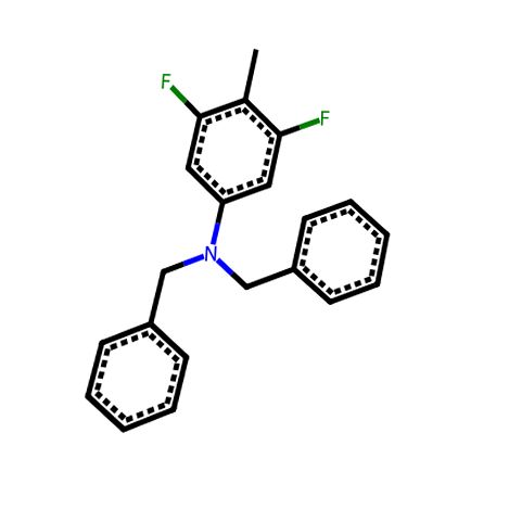 Cc1c(F)cc(N(Cc2ccccc2)Cc2ccccc2)cc1F